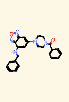 O=C(c1ccccc1)N1CCN(c2cc(NCc3ccccc3)c3nonc3c2)CC1